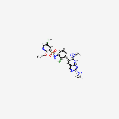 CNc1ncc2cc(-c3cccc(NS(=O)(=O)c4cc(F)cnc4OC)c3F)c(NC)nc2n1